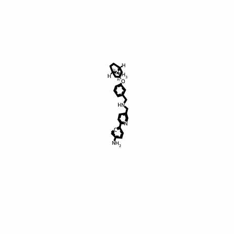 CN1[C@@H]2CC[C@H]1C[C@@H](Oc1cccc(CNCc3ccc(-c4ccc(N)cc4)nc3)c1)C2